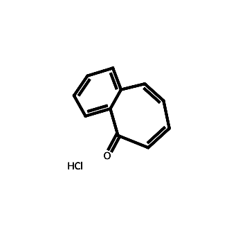 Cl.O=c1ccccc2ccccc12